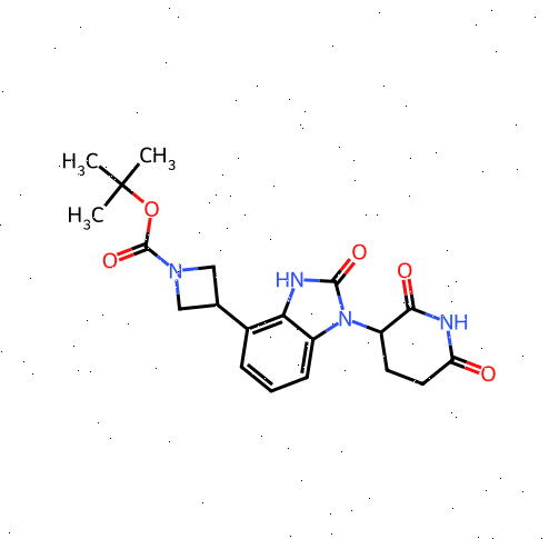 CC(C)(C)OC(=O)N1CC(c2cccc3c2[nH]c(=O)n3C2CCC(=O)NC2=O)C1